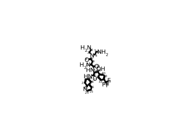 NCCN(CCN)C(=O)C[C@H](N)C(=O)N[C@H](C(=O)Nc1ccc2ncccc2c1)[C@H](O)c1ccc(C(F)(F)F)cc1